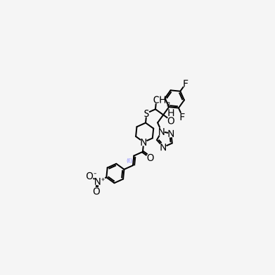 CC(SC1CCN(C(=O)/C=C/c2ccc([N+](=O)[O-])cc2)CC1)C(O)(Cn1cncn1)c1ccc(F)cc1F